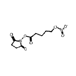 O=C(CCCCO[N+](=O)[O-])ON1C(=O)CCC1=O